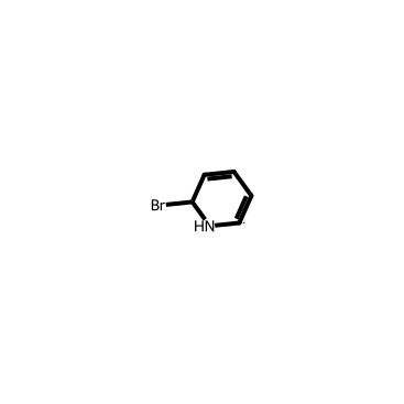 BrC1C=CC=[C]N1